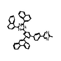 Cc1ncc(-c2ccc(-c3cc(-c4nc(-c5cccc6ccccc56)nc(-c5cccc6ccccc56)n4)cc(-c4cc5ccccc5c5ccccc45)c3)cc2)cn1